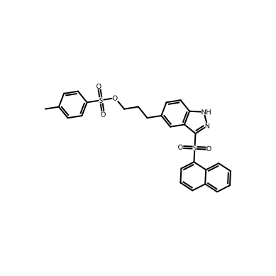 Cc1ccc(S(=O)(=O)OCCCc2ccc3[nH]nc(S(=O)(=O)c4cccc5ccccc45)c3c2)cc1